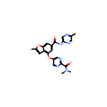 Cc1cnc(NC(=O)c2cc(Oc3cnc(C(=O)N(C)C)nc3)c3cc(C)oc3c2)cn1